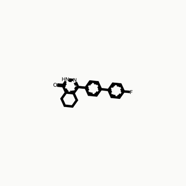 O=c1[nH]nc(-c2ccc(-c3ccc(F)cc3)cc2)c2c1CCCC2